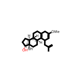 C=C(C)CC1C=C(OC)CC2=C1[C@H]1CC[C@]3(CCC)[C@H](O)CC[C@H]3[C@@H]1CC2